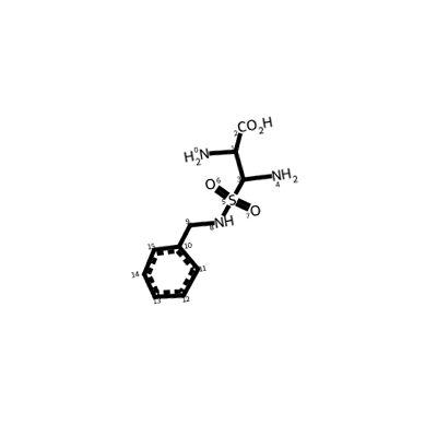 NC(C(=O)O)C(N)S(=O)(=O)NCc1ccccc1